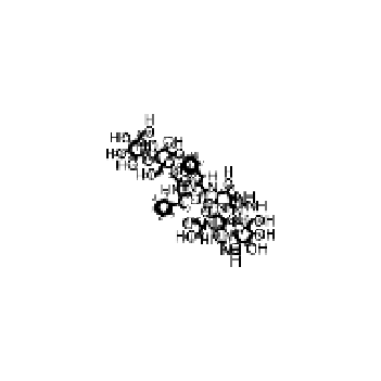 CC(c1ccccc1)C(NC(=O)CN)C(=O)NC(Cc1ccc(OC2OC(CO)C(OC3OC(CO)C(O)C(O)C3O)C(O)C2O)cc1)C(=O)NC(C(=O)NC(C(=O)NC([C]=O)CO)C(O)C1CNC(=N)N1C1OC(CO)C(O)C(O)C1O)C(O)C1CNC(=N)N1